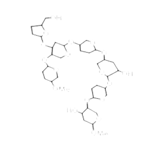 COC1CCC(OC2COC(OC3CCC(OC4COC(OC5CCC(OC6COC(OC)CC6O)OC5)C(O)C4)OC3)CC2OC2CCC(CO)O2)OC1